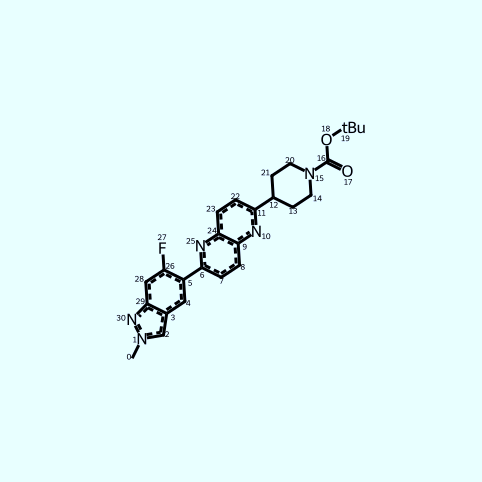 Cn1cc2cc(-c3ccc4nc(C5CCN(C(=O)OC(C)(C)C)CC5)ccc4n3)c(F)cc2n1